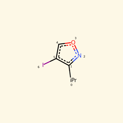 CC(C)c1nocc1I